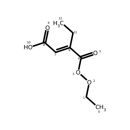 CCOOC(=O)C(=CC(=O)O)CC